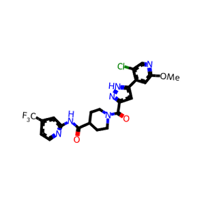 COc1cc(-c2cc(C(=O)N3CCC(C(=O)Nc4cc(C(F)(F)F)ccn4)CC3)n[nH]2)c(Cl)cn1